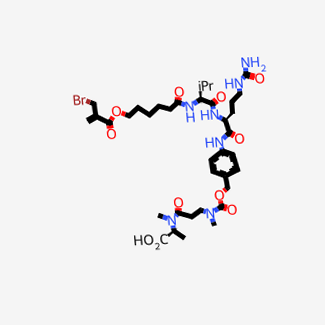 C=C(CBr)C(=O)OCCCCCC(=O)N[C@H](C(=O)N[C@@H](CCCNC(N)=O)C(=O)Nc1ccc(COC(=O)N(C)CCC(=O)N(C)[C@@H](C)C(=O)O)cc1)C(C)C